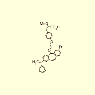 CCc1ccc2c(c1)C(OCCOc1ccc(CC(OC)C(=O)O)cc1)c1ccc(C(C)c3ccccc3)cc1C=C2